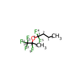 CCCC(F)(F)OC(C)(F)C(F)(F)F